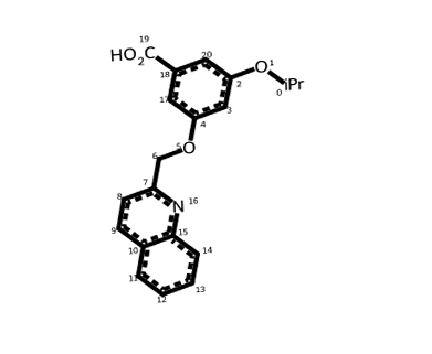 CC(C)Oc1cc(OCc2ccc3ccccc3n2)cc(C(=O)O)c1